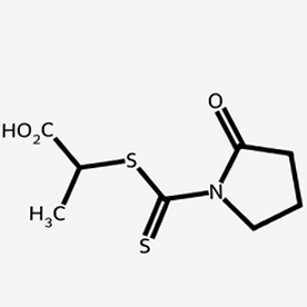 CC(SC(=S)N1CCCC1=O)C(=O)O